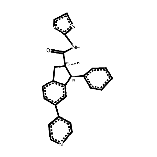 C[C@@]1(C(=O)Nc2nccs2)Cc2ccc(-c3ccncc3)cc2[C@@H]1c1ccccc1